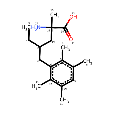 CCC(Cc1c(C)c(C)cc(C)c1C)CC(C)(N)C(=O)O